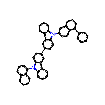 c1ccc(-c2cccc3cc(-n4c5ccccc5c5cc(-c6ccc7c(c6)c6ccccc6n7-c6cccc7ccccc67)ccc54)ccc23)cc1